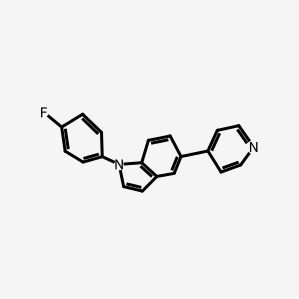 Fc1ccc(-n2ccc3cc(-c4ccncc4)ccc32)cc1